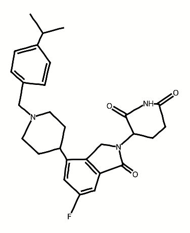 CC(C)c1ccc(CN2CCC(c3cc(F)cc4c3CN(C3CCC(=O)NC3=O)C4=O)CC2)cc1